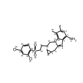 Cc1nc(N)c2nc(CC3CC3)n(CCCCS(=O)(=O)c3ccc(Cl)cc3Cl)c2c1C